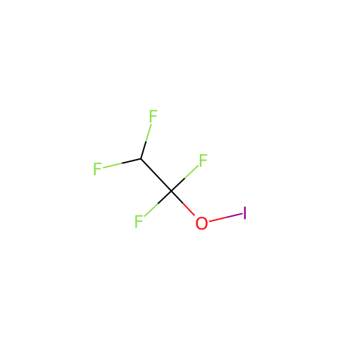 FC(F)C(F)(F)OI